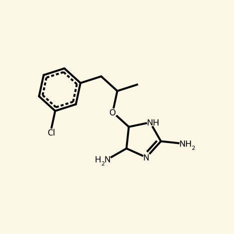 CC(Cc1cccc(Cl)c1)OC1NC(N)=NC1N